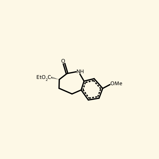 CCOC(=O)[C@H]1CCc2ccc(OC)cc2NC1=O